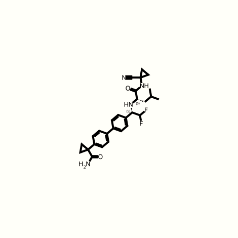 CC(C)C[C@H](N[C@@H](c1ccc(-c2ccc(C3(C(N)=O)CC3)cc2)cc1)C(F)F)C(=O)NC1(C#N)CC1